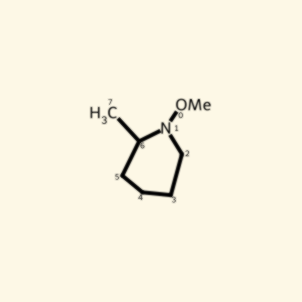 CON1CCCCC1C